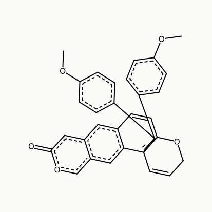 COc1ccc(C2(c3ccc(OC)cc3)C=CC34C=CCOC3(C=Cc3cc5cc(=O)occ5cc34)C2)cc1